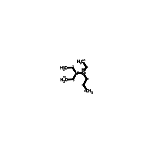 CCC[SiH](CC)N(CC)CC